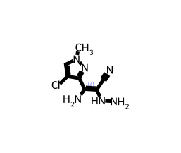 Cn1cc(Cl)c(/C(N)=C(\C#N)NN)n1